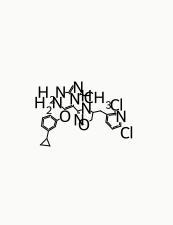 Cc1ncc(N)n1/C(C1=NOCC(Cc2ccc(Cl)nc2Cl)N1)=C(\N)Oc1cccc(C2CC2)c1